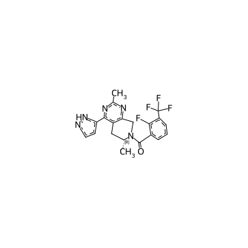 Cc1nc2c(c(-c3ccn[nH]3)n1)C[C@@H](C)N(C(=O)c1cccc(C(F)(F)F)c1F)C2